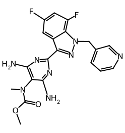 COC(=O)N(C)c1c(N)nc(-c2nn(Cc3cccnc3)c3c(F)cc(F)cc23)nc1N